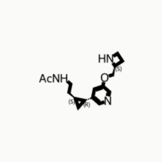 CC(=O)NCC[C@@H]1C[C@H]1c1cncc(OC[C@@H]2CCN2)c1